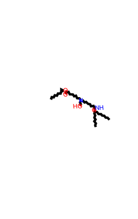 CCCCCCCCC(CCCCCCCC)OC(=N)CCCCCCCN(CCO)CCCCCCCC(=O)OC1CC1CCCCCCC